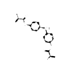 C=C(C)C(=O)Oc1ccc(Nc2ccc(OC(=O)C(=C)C)cc2)cc1